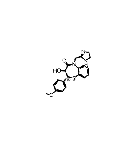 COc1ccc([C@@H]2Sc3ccccc3N(CC3=NCCN3)C(=O)C2O)cc1